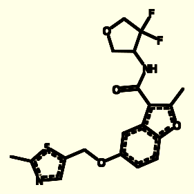 Cc1ncc(COc2ccc3oc(C)c(C(=O)NC4COCC4(F)F)c3c2)s1